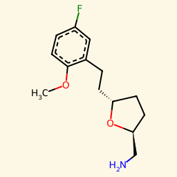 COc1ccc(F)cc1CC[C@@H]1CC[C@@H](CN)O1